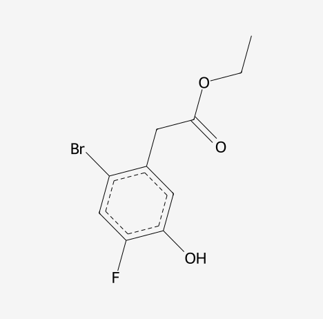 CCOC(=O)Cc1cc(O)c(F)cc1Br